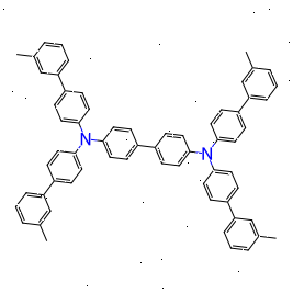 Cc1cccc(-c2ccc(N(c3ccc(-c4ccc(N(c5ccc(-c6cccc(C)c6)cc5)c5ccc(-c6cccc(C)c6)cc5)cc4)cc3)c3ccc(-c4cccc(C)c4)cc3)cc2)c1